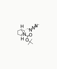 CC(C)(C)OC(=O)N1[C@H]2CC[C@H](C2)[C@@H]1CN=[N+]=[N-]